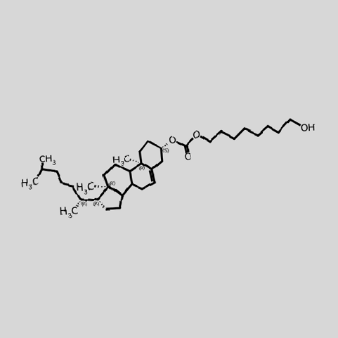 CC(C)CCC[C@@H](C)[C@H]1CCC2C3CC=C4C[C@@H](OC(=O)OCCCCCCCCO)CC[C@]4(C)C3CC[C@@]21C